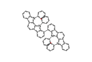 c1ccc(-n2c3ccccc3c3ccc4c5cccc(-c6cccc7c8ccc9c%10ccccc%10n(-c%10ccccc%10)c9c8n(-c8ccccc8)c67)c5n(-c5ccccc5)c4c32)cc1